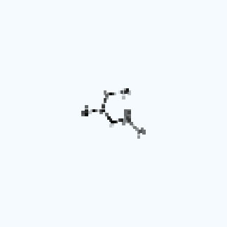 CCC(CNC(C)C)CC(C)C